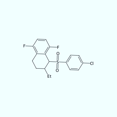 CCC1CCc2c(F)ccc(F)c2C1S(=O)(=O)c1ccc(Cl)cc1